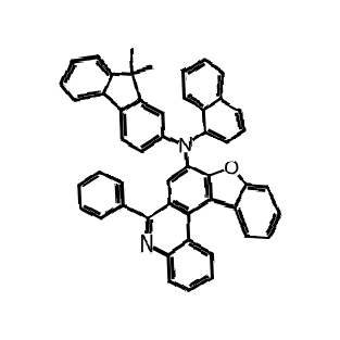 CC1(C)c2ccccc2-c2ccc(N(c3cccc4ccccc34)c3cc4c(-c5ccccc5)nc5ccccc5c4c4c3oc3ccccc34)cc21